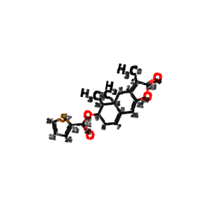 CC1=C2CC3(C)C(=CCC(OC(=O)c4cccs4)C3C)C=C2OC1=O